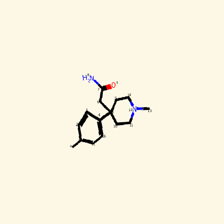 Cc1ccc(C2(CC(N)=O)CCN(C)CC2)cc1